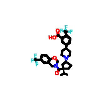 CC(C)[C@]1(C(=O)N2COc3ccc(C(F)(F)F)cc3C2)CC[C@@H](N2CCC(c3ccc(C(F)(F)F)c(C(=O)O)c3)CC2)C1